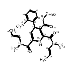 CC=CN(C)C(=O)C1=CC(c2ccccc2[N+](=O)[O-])C(C(=O)OCCCCCC)=C(C(=O)N(C)C=CC)N1